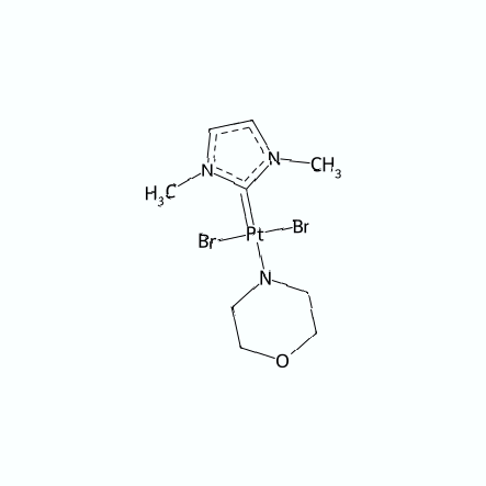 Cn1ccn(C)[c]1=[Pt]([Br])([Br])[N]1CCOCC1